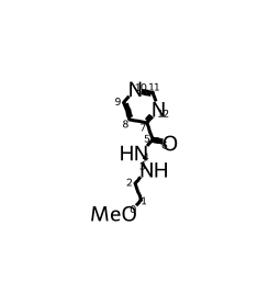 COCCNNC(=O)c1ccncn1